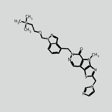 Cn1c2nc(Cn3ccnc3)sc2c2cnn(Cc3cccc4c3cnn4COCC[Si](C)(C)C)c(=O)c21